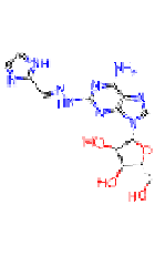 Nc1nc(NN=Cc2ncc[nH]2)nc2c1ncn2[C@@H]1O[C@H](CO)[C@@H](O)[C@H]1O